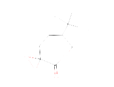 CC(C)(C)C1CCC2(OO2)C(=O)OC1